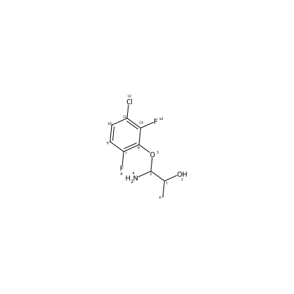 CC(O)C(N)Oc1c(F)ccc(Cl)c1F